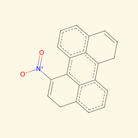 O=[N+]([O-])C1=CCc2cccc3c4c5c(cccc5c1c23)C=CC4